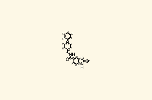 O=C(NCC1CCN(c2ccccc2)CC1)c1ccc2[nH]c(=O)oc2c1